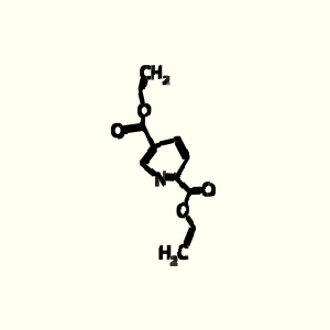 C=COC(=O)c1ccc(C(=O)OC=C)nc1